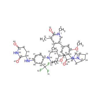 COc1cc(-c2cn(C)c(=O)c(C)c2C)cc(OC)c1CN1C2CCC1CN(C(=O)CC1CCN(c3ccc(NC4CCC(=O)NC4=O)cc3C(F)(F)F)CC1)C2